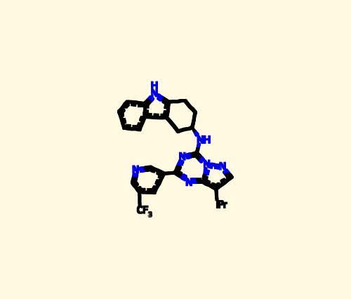 CC(C)c1cnn2c(N[C@@H]3CCc4[nH]c5ccccc5c4C3)nc(-c3cncc(C(F)(F)F)c3)nc12